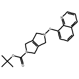 CC(C)(C)OC(=O)N1CC2=C(CN(Sc3cccc4cccnc34)C2)C1